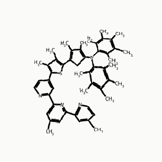 CC1=C(c2sc(-c3ccnc(-c4cc(C)cc(-c5cc(C)ccn5)n4)c3)c(C)c2C)CC(N(c2c(C)c(C)c(C)c(C)c2C)c2c(C)c(C)c(C)c(C)c2C)=C1C